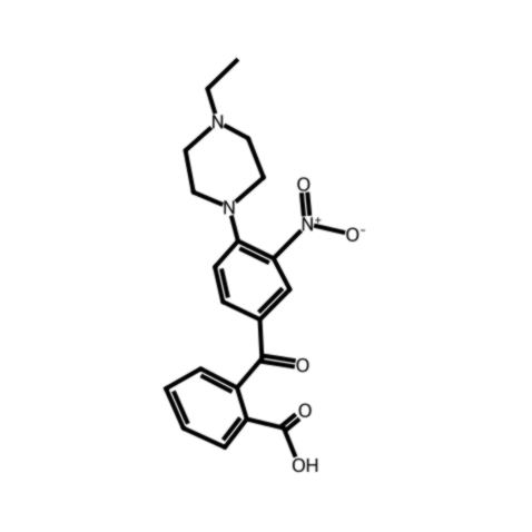 CCN1CCN(c2ccc(C(=O)c3ccccc3C(=O)O)cc2[N+](=O)[O-])CC1